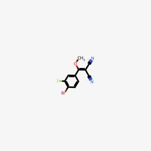 COC(=C(C#N)C#N)c1ccc(Br)c(F)c1